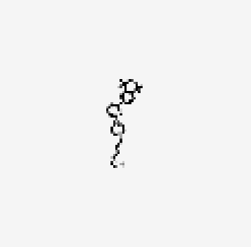 CC1(C)CCC(C)(C)c2cc(-c3cccc(N4CCN(CCCCO)CC4)n3)ccc21